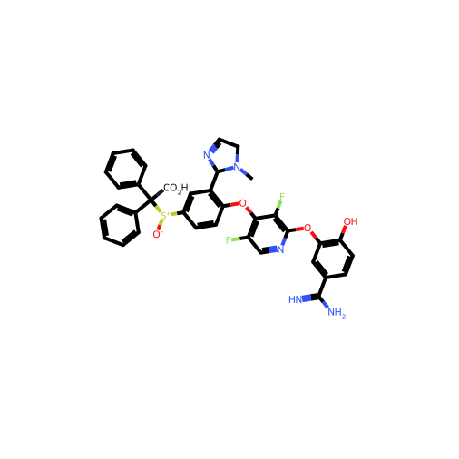 CN1CC=NC1c1cc([S+]([O-])C(C(=O)O)(c2ccccc2)c2ccccc2)ccc1Oc1c(F)cnc(Oc2cc(C(=N)N)ccc2O)c1F